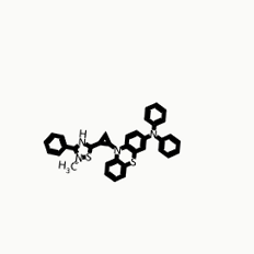 CN1SC(C2CC2N2c3ccccc3Sc3cc(N(c4ccccc4)c4ccccc4)ccc32)NC1c1ccccc1